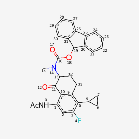 CC(=O)Nc1cc(F)c(C2CC2)c2c1C(=O)C(N(C)C(=O)OC1c3ccccc3-c3ccccc31)CC2